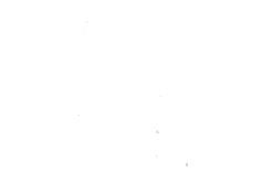 O=C(O)CCS(CCC(=O)O)(CC(O)CO)CC(O)CO